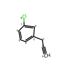 C#C[CH]c1cccc(Cl)c1